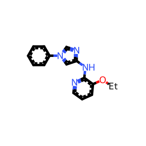 CCOc1cccnc1Nc1cn(-c2ccccc2)cn1